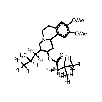 [2H]C([2H])([2H])C([2H])(C)C([2H])([2H])C1CN2CCc3cc(OC)c(OC)cc3C2CC1OC(=O)[C@@]([2H])(N)C([2H])(C([2H])([2H])[2H])C([2H])([2H])[2H]